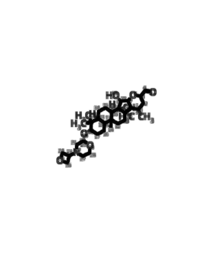 C[C@@H]1CC(C=O)OC2C1[C@@]1(C)CCC34C[C@@]35CC[C@H](O[C@H]3CN(C6COC6)CCO3)C(C)(C)[C@@H]5CC[C@H]4[C@]1(C)[C@H]2O